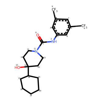 O=C(Nc1cc(C(F)(F)F)cc(C(F)(F)F)c1)N1CCC(O)(C2CCCCC2)CC1